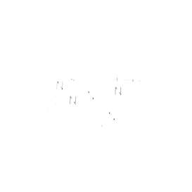 CN(C=O)c1cn(-c2ccnc(Cl)n2)c2cccnc12